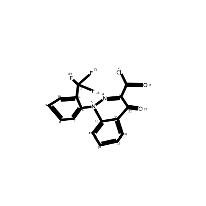 O=C(Cl)c1nn(-c2ccccc2C(F)(F)F)c2ccccc2c1=O